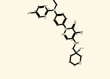 CCN(c1ccc(-n2ncc(NC[C@@]3(F)CCCOC3)c(Cl)c2=O)cc1)c1ncc(F)cn1